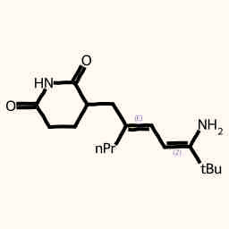 CCC/C(=C\C=C(/N)C(C)(C)C)CC1CCC(=O)NC1=O